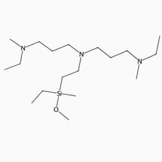 CCN(C)CCCN(CCCN(C)CC)CC[Si](C)(CC)OC